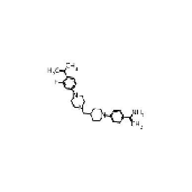 C=C(N)c1ccc(N2CCC(CN3CCN(c4ccc(C(=C)C)c(F)c4)CC3)CC2)cc1